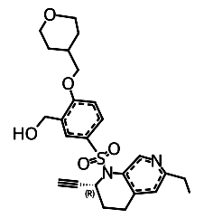 C#C[C@H]1CCc2cc(CC)ncc2N1S(=O)(=O)c1ccc(OCC2CCOCC2)c(CO)c1